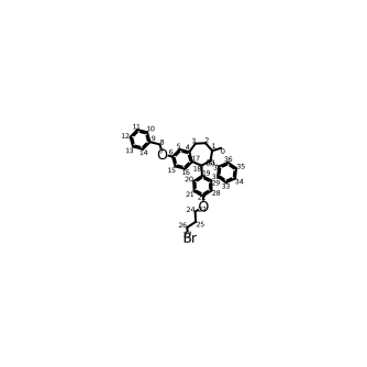 CC1CCc2cc(OCc3ccccc3)ccc2C(c2ccc(OCCCBr)cc2)[C@H]1c1ccccc1